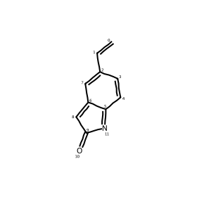 C=Cc1ccc2c(c1)=CC(=O)N=2